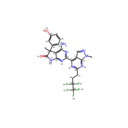 Cn1ncc2c(-c3nc(N)c4c(n3)NC(=O)C4(C)c3cccc(O)c3)nc(CCC(F)(F)C(F)(F)F)nc21